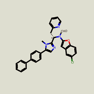 Cn1c(-c2ccc(-c3ccccc3)cc2)cnc1[C@H](Cc1ccccn1)N(C=O)c1cc2cc(Cl)ccc2o1